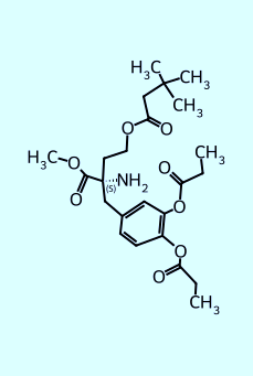 CCC(=O)Oc1ccc(C[C@](N)(CCOC(=O)CC(C)(C)C)C(=O)OC)cc1OC(=O)CC